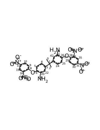 CC(C)(c1ccc(Oc2ccc([N+](=O)[O-])cc2[N+](=O)[O-])c(N)c1)c1ccc(Oc2ccc([N+](=O)[O-])cc2[N+](=O)[O-])c(N)c1